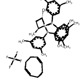 C1=C\CC/C=C\CC/1.Cc1cc(C)cc([P](c2cc(C)cc(C)c2)[Ir]2([P](c3cc(C)cc(C)c3)c3cc(C)cc(C)c3)[C@@H](C)C[C@@H]2C)c1.F[B-](F)(F)F